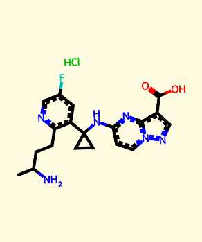 CC(N)CCc1ncc(F)cc1C1(Nc2ccn3ncc(C(=O)O)c3n2)CC1.Cl